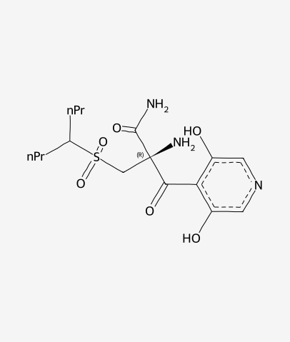 CCCC(CCC)S(=O)(=O)C[C@](N)(C(N)=O)C(=O)c1c(O)cncc1O